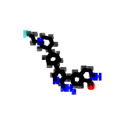 Nc1ncc(-c2ccc(C3CCCN(CCF)C3)cc2)cc1-c1ccc2c(c1)CCNC2=O